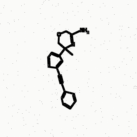 CC1(c2cccc(C#Cc3ccccc3)c2)COCC(N)=N1